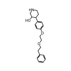 OC1CNCCC1c1ccc(OCCOCCc2ccccc2)cc1